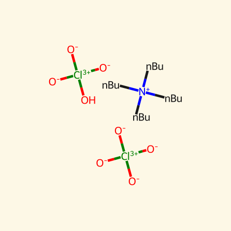 CCCC[N+](CCCC)(CCCC)CCCC.[O-][Cl+3]([O-])([O-])O.[O-][Cl+3]([O-])([O-])[O-]